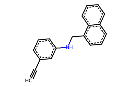 C#Cc1cccc(NCc2cccc3ccccc23)c1